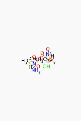 CC1(C)S[C@@H]2C(N)C(=O)N2[C@H]1C(=O)OCOC(=O)[C@@H]1N2C(=O)C[C@H]2S(=O)(=O)C1(C)C.Cl